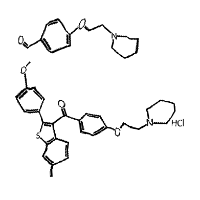 COc1ccc(-c2sc3cc(C)ccc3c2C(=O)c2ccc(OCCN3CCCCC3)cc2)cc1.Cl.O=Cc1ccc(OCCN2CCCCC2)cc1